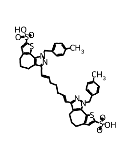 Cc1ccc(Cn2nc(/C=C/CCC/C=C/c3nn(Cc4ccc(C)cc4)c4c3CCCc3cc(S(=O)(=O)O)sc3-4)c3c2-c2sc(S(=O)(=O)O)cc2CCC3)cc1